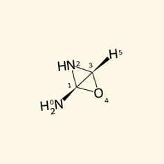 N[C@@]12N[C@@H]1O2